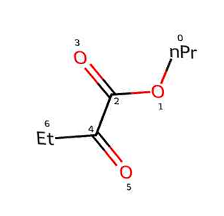 CCCOC(=O)C(=O)CC